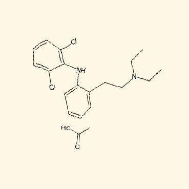 CC(=O)O.CCN(CC)CCc1ccccc1Nc1c(Cl)cccc1Cl